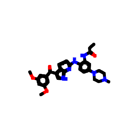 CCC(=O)Nc1cc(N2CCN(C)CC2)ccc1Nc1ccc2c(C(=O)c3cc(OC)cc(OC)c3)c[nH]c2n1